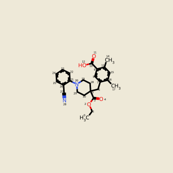 CCOC(=O)C1(Cc2cc(C(=O)O)c(C)cc2C)CCN(c2ccccc2C#N)CC1